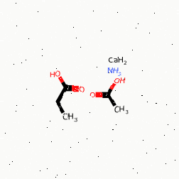 CC(=O)O.CCC(=O)O.N.[CaH2]